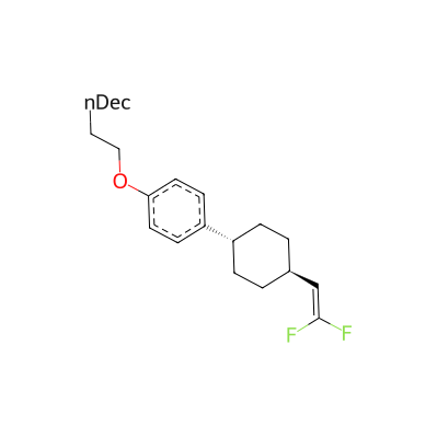 CCCCCCCCCCCCOc1ccc([C@H]2CC[C@H](C=C(F)F)CC2)cc1